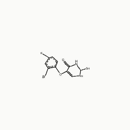 O=C1NC(S)NC=C1Oc1ccc(F)cc1Br